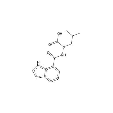 CC(C)CN(NC(=O)c1cccc2cc[nH]c12)C(=O)O